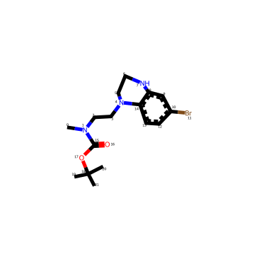 CN(CCN1CCNc2cc(Br)ccc21)C(=O)OC(C)(C)C